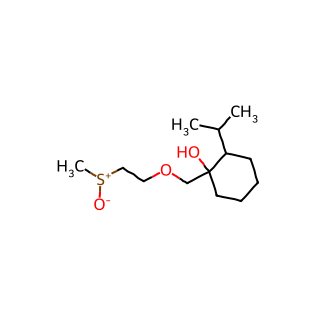 CC(C)C1CCCCC1(O)COCC[S+](C)[O-]